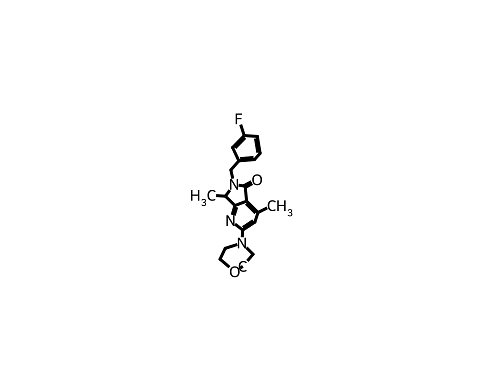 Cc1cc(N2CCOCC2)nc2c1C(=O)N(Cc1cccc(F)c1)C2C